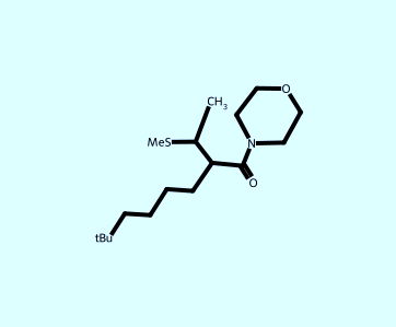 CSC(C)C(CCCCC(C)(C)C)C(=O)N1CCOCC1